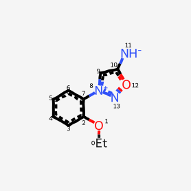 CCOc1ccccc1-[n+]1cc([NH-])on1